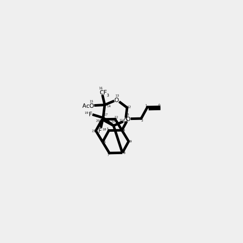 C=CCOC12CC3CC(C1)C1(OCOC(OC(C)=O)(C(F)(F)F)C1(F)F)C(C3)C2